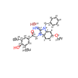 Br.CCCOc1ccc2c(c1)n(Cc1ccccc1)c(=N)n2CC(=O)c1cc(C(C)(C)C)c(O)c(C(C)(C)C)c1